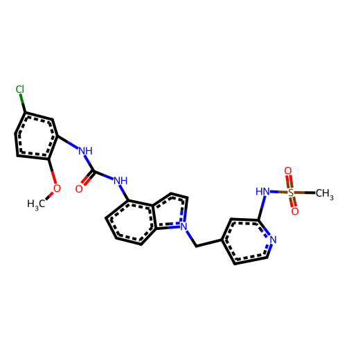 COc1ccc(Cl)cc1NC(=O)Nc1cccc2c1ccn2Cc1ccnc(NS(C)(=O)=O)c1